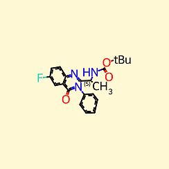 C[C@H](NC(=O)OC(C)(C)C)c1nc2ccc(F)cc2c(=O)n1-c1ccccc1